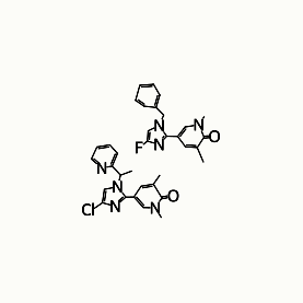 Cc1cc(-c2nc(Cl)cn2C(C)c2ccccn2)cn(C)c1=O.Cc1cc(-c2nc(F)cn2Cc2ccccc2)cn(C)c1=O